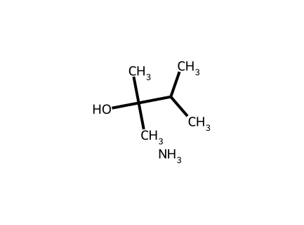 CC(C)C(C)(C)O.N